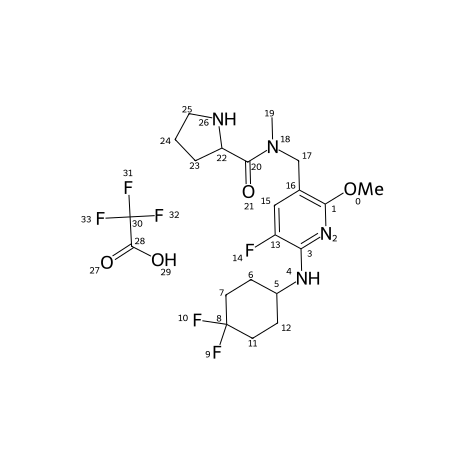 COc1nc(NC2CCC(F)(F)CC2)c(F)cc1CN(C)C(=O)C1CCCN1.O=C(O)C(F)(F)F